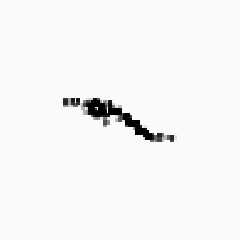 CCCCCCCCCCCCCCCCSCc1nc2cc(S(=O)(=O)O)ccc2[nH]1